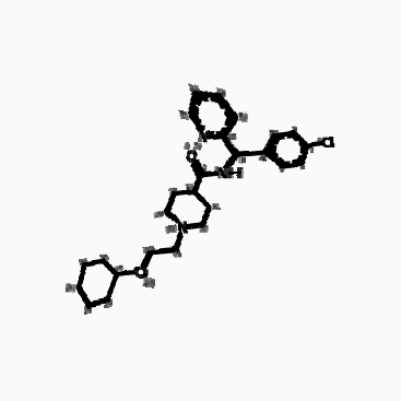 O=C(NC(c1ccc(Cl)cc1)c1ccccn1)C1CCN(CCOC2CCCCC2)CC1